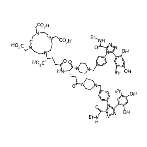 CCNC(=O)c1nnc(-c2cc(C(C)C)c(O)cc2O)n1-c1ccc(CN2CCN(C(=O)CC[C@H](NC(=O)CC[C@H](C(=O)O)N3CCN(CC(=O)O)CCN(CC(=O)O)CCN(CC(=O)O)CC3)C(=O)N3CCN(Cc4ccc(-n5c(C(=O)NCC)nnc5-c5cc(C(C)C)c(O)cc5O)cc4)CC3)CC2)cc1